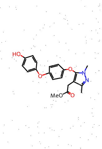 COC(=O)Cc1c(C)nn(C)c1Oc1ccc(Oc2ccc(O)cc2)cc1